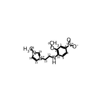 COc1cc([N+](=O)[O-])ccc1NCC[n+]1ccn(C)c1